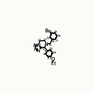 CCOc1ccc(C2c3nnnn3CCN2Cc2cccc(Br)c2)cc1